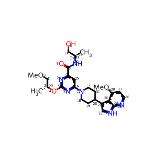 COC[C@@H](C)Oc1nc(C(=O)N[C@H](C)CO)cc(N2CCC(c3c[nH]c4nccc(OC)c34)CC2)n1